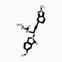 CCOc1ccc2c(c1)C(=O)N(C[C@@H](C#Cc1ccc3cn(C)nc3c1)NC(=O)NC=O)C2